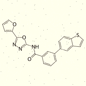 O=C(Nc1nnc(-c2ccco2)o1)c1cccc(-c2ccc3sccc3c2)c1